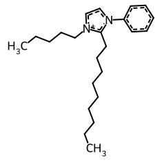 CCCCCCCCCc1n(-c2ccccc2)cc[n+]1CCCCC